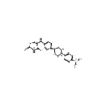 O=C1CCC(Nc2ccc(N3CCN(c4ccc([N+](=O)[O-])cc4)CC3)cc2)C(=O)N1